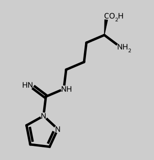 N=C(NCCC[C@H](N)C(=O)O)n1cccn1